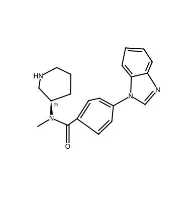 CN(C(=O)c1ccc(-n2cnc3ccccc32)cc1)[C@@H]1CCCNC1